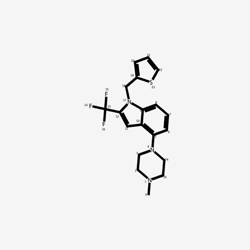 CN1CCN(c2cccc3c2cc(C(F)(F)F)n3Cc2cccs2)CC1